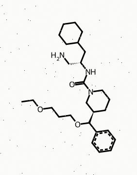 CCOCCCOC(c1ccccc1)[C@@H]1CCCN(C(=O)N[C@H](CN)CC2CCCCC2)C1